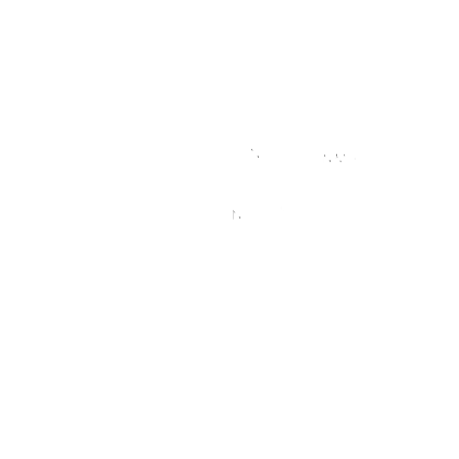 CNC1=NC(c2ccccc2)N(c2ccccc2)S1